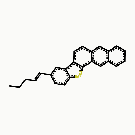 CCC/C=C/c1ccc2sc3c4cc5ccccc5cc4ccc3c2c1